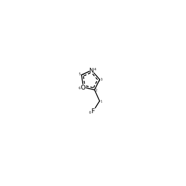 FCc1[c]n[c]o1